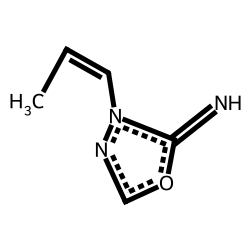 C/C=C\n1ncoc1=N